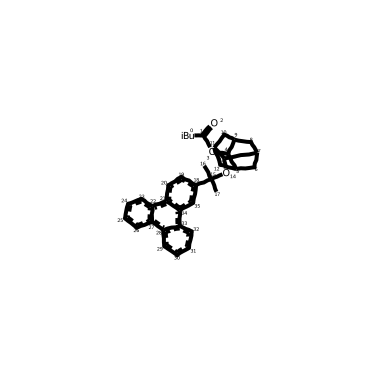 CCC(C)C(=O)OC1C2CC3CC1CC(C2)C3OC(C)(C)c1ccc2c3ccccc3c3ccccc3c2c1